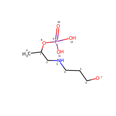 CC(CNCCC[O])OP(=O)(O)O